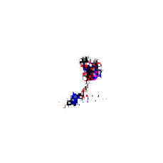 COc1cc2c(N[C@H](C)c3cccc(Br)c3)nc(C)nc2cc1OCCCCCCC(=O)N[C@H]1C[C@@H](C(=O)N[C@@H]2CCCc3ccccc32)N(C(=O)[C@@H](NC(=O)[C@H](C)N(C)C(=O)OC(C)(C)C)C2CCCCC2)C1